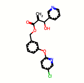 C=C(C(=O)OCc1cccc(Oc2ccc(Cl)cn2)c1)C(O)c1cccnc1